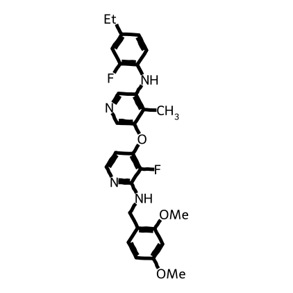 CCc1ccc(Nc2cncc(Oc3ccnc(NCc4ccc(OC)cc4OC)c3F)c2C)c(F)c1